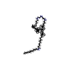 CCCCC/C=C\C/C=C\C/C=C\CCCCC(=O)O[C@H](COC(=O)CCCCCCCCC/C=C\CCCCCCCCCC)COP(=O)([O-])OCC[N+](C)(C)C